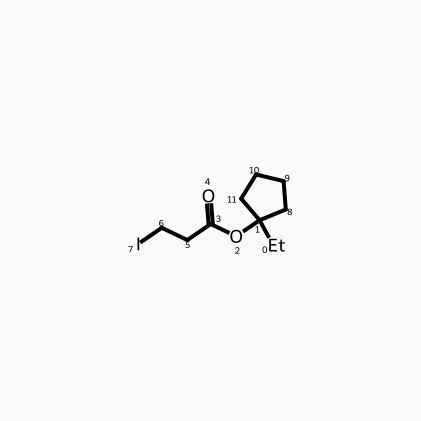 CCC1(OC(=O)CCI)CCCC1